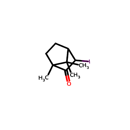 CC12CCC(C(I)C1=O)C2(C)C